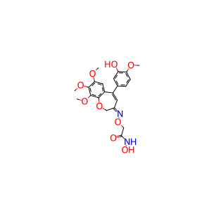 COc1ccc(C2=CC(=NOCC(=O)NO)COc3c2cc(OC)c(OC)c3OC)cc1O